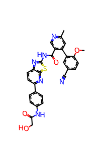 COc1ccc(C#N)cc1-c1cc(C)ncc1C(=O)Nc1nc2ccc(-c3ccc(NC(=O)CO)cc3)nc2s1